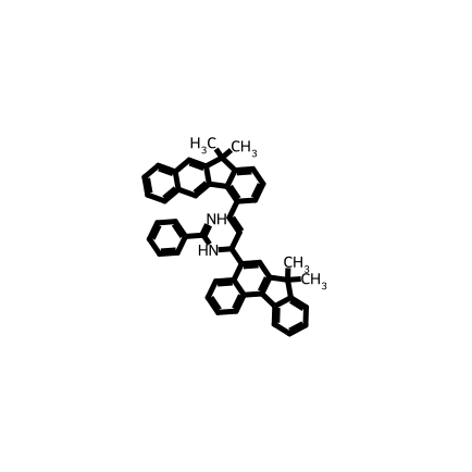 CC1(C)c2cc3ccccc3cc2-c2c(/C=C/C(NC(=N)c3ccccc3)c3cc4c(c5ccccc35)-c3ccccc3C4(C)C)cccc21